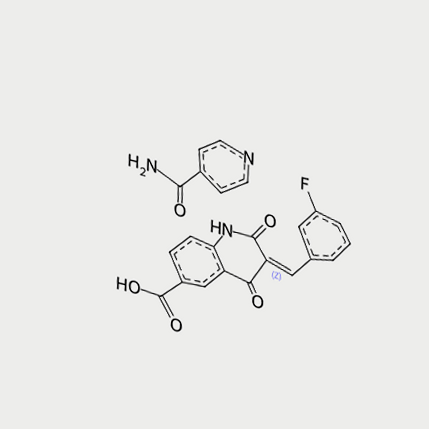 NC(=O)c1ccncc1.O=C1Nc2ccc(C(=O)O)cc2C(=O)/C1=C/c1cccc(F)c1